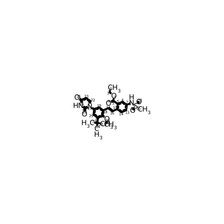 CCOC(=O)c1cc(NS(C)(=O)=O)ccc1C=Cc1cc(-n2ccc(=O)[nH]c2=O)cc(C(C)(C)C)c1OC